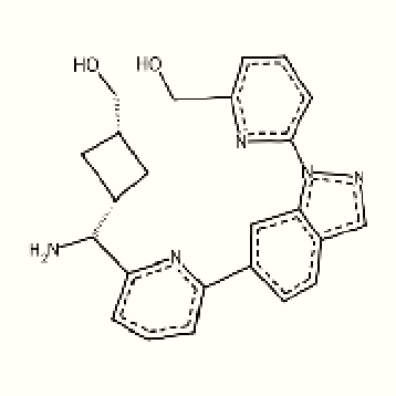 NC(c1cccc(-c2ccc3cnn(-c4cccc(CO)n4)c3c2)n1)[C@H]1C[C@@H](CO)C1